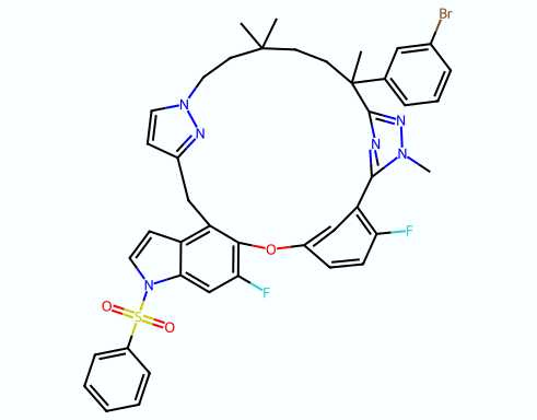 Cn1nc2nc1-c1cc(ccc1F)Oc1c(F)cc3c(ccn3S(=O)(=O)c3ccccc3)c1Cc1ccn(n1)CCC(C)(C)CCC2(C)c1cccc(Br)c1